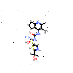 Cc1nc2c(c(NC(=O)N=[S@@](N)(=O)c3cnc(C(C)(C)O)s3)c1C(C)C)CCC2